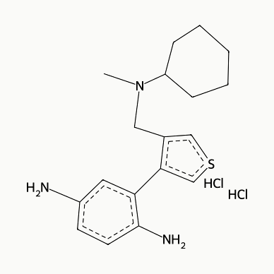 CN(Cc1cscc1-c1cc(N)ccc1N)C1CCCCC1.Cl.Cl